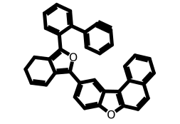 c1cccc(-c2ccccc2-c2oc(-c3ccc4oc5ccc6ccccc6c5c4c3)c3c2CCC=C3)c#1